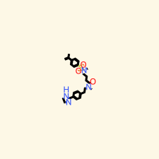 C=C(C)c1ccc(S(=O)(=O)N(C)CCCC(=O)N(C)CCc2ccc(C3=NCCN3)cc2)cc1